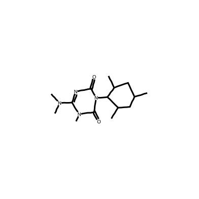 CC1CC(C)C(n2c(=O)nc(N(C)C)n(C)c2=O)C(C)C1